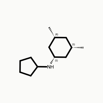 C[C@@H]1C[C@H](C)C[C@H](NC2CCCC2)C1